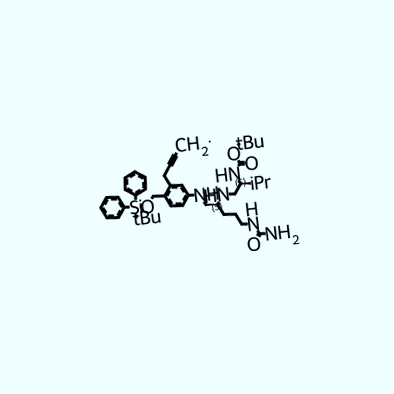 [CH2]C#CCc1cc(NC[C@H](CCCNC(N)=O)NC[C@@H](NC(=O)OC(C)(C)C)C(C)C)ccc1CO[Si](c1ccccc1)(c1ccccc1)C(C)(C)C